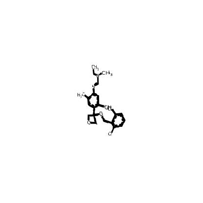 CCN(C)C=Nc1cc(C)c(C2(OCc3c(Cl)cccc3Cl)COC2)cc1C